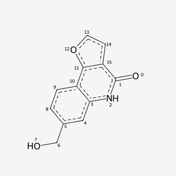 O=c1[nH]c2cc(CO)ccc2c2occc12